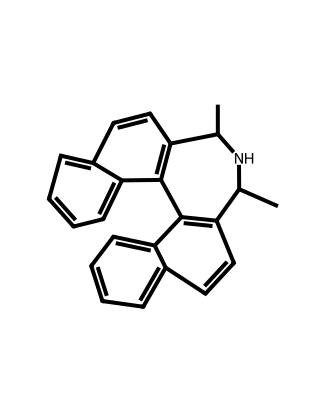 CC1NC(C)c2ccc3ccccc3c2-c2c1ccc1ccccc21